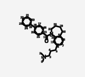 CN(C)CCCc1ccc2c(c1)N(C(=O)c1ccc(-c3ccccc3)cc1)CCCC2